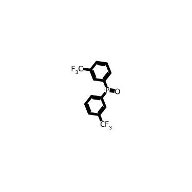 O=[P](c1cccc(C(F)(F)F)c1)c1cccc(C(F)(F)F)c1